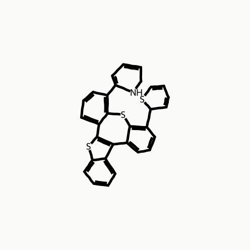 C1=CCNC(c2cccc3c2Sc2c(cccc2C2C=CC=CS2)-c2c-3sc3ccccc23)=C1